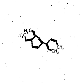 C/C=C\C(=C/C)c1ccc(=C/C)/c(=C\C)c1